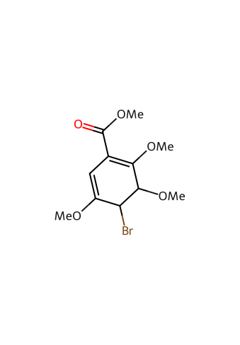 COC(=O)C1=C(OC)C(OC)C(Br)C(OC)=C1